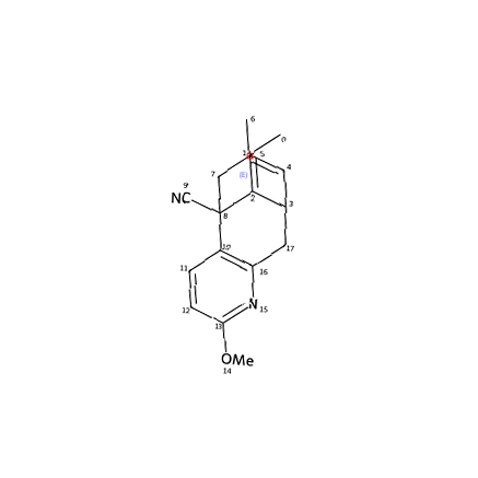 C/C=C1\C2C=C(C)CC1(C#N)c1ccc(OC)nc1C2